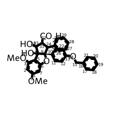 COc1cc(OC)c2c(c1)O[C@@]1(c3ccc(OCc4ccccc4)cc3)C(c3ccccc3)C(C(=O)O)C(O)[C@@]21O